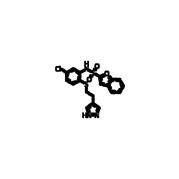 O=S(=O)(Nc1cc(Cl)ccc1SCCc1cn[nH]c1)c1cc2ccccc2o1